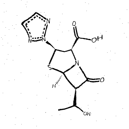 CC(O)[C@@H]1C(=O)N2[C@@H]1S[C@@H](n1nccn1)[C@H]2C(=O)O